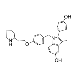 Cc1c(-c2ccc(O)cc2)n(Cc2ccc(OCCC3CCCCN3)cc2)c2ccc(O)cc12